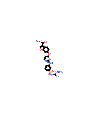 CNC(=O)c1coc2cc(Oc3ccnc(Nc4cccc(S(=O)(=O)NC(C)ON)c4)n3)ccc12